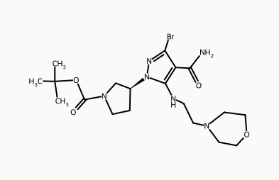 CC(C)(C)OC(=O)N1CC[C@H](n2nc(Br)c(C(N)=O)c2NCCN2CCOCC2)C1